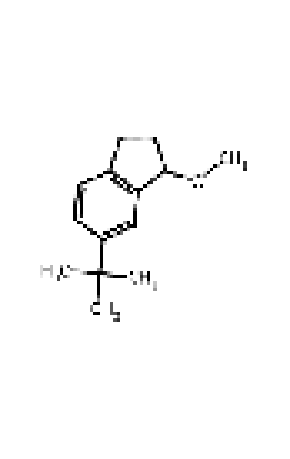 COC1CCc2ccc(C(C)(C)C)cc21